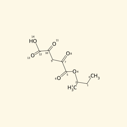 CCC(C)OC(=O)C(=O)CC(=O)C(=O)O